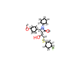 COc1ccc([C@@H]2[C@@H]([C@H](O)CSc3ccc(F)cc3)C(=O)N2c2ccccc2)cc1